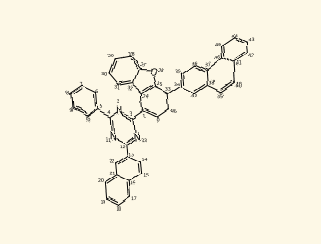 C1=C(c2nc(-c3ccccc3)nc(-c3ccc4ccccc4c3)n2)c2c(oc3ccccc23)C(c2ccc3c(ccc4ccccc43)c2)C1